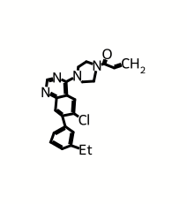 C=CC(=O)N1CCN(c2ncnc3cc(-c4cccc(CC)c4)c(Cl)cc23)CC1